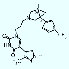 Cn1cc(-c2cn(CCCN3C[C@@H]4C[C@]4(c4ccc(C(F)(F)F)cc4)C3)c(=O)[nH]c2=O)c(C(F)(F)F)n1